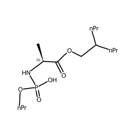 CCCOP(=O)(O)N[C@@H](C)C(=O)OCC(CCC)CCC